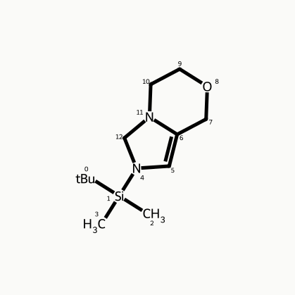 CC(C)(C)[Si](C)(C)N1C=C2COCCN2C1